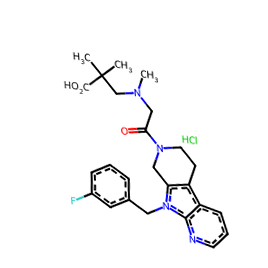 CN(CC(=O)N1CCc2c(n(Cc3cccc(F)c3)c3ncccc23)C1)CC(C)(C)C(=O)O.Cl